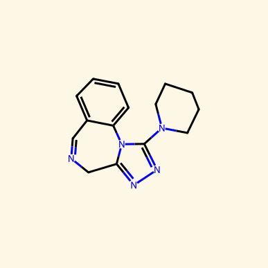 C1=NCc2nnc(N3CCCCC3)n2-c2ccccc21